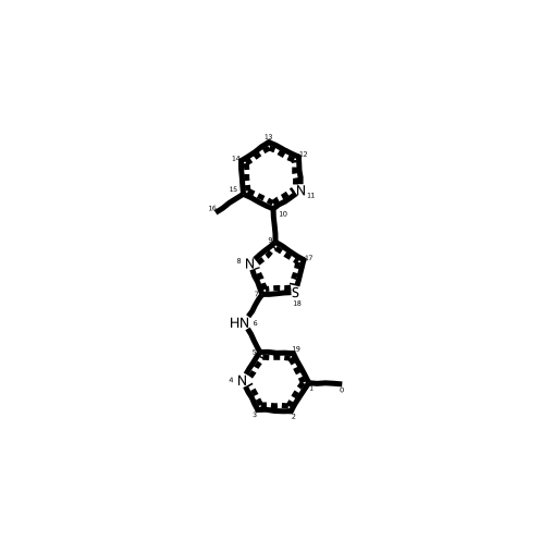 Cc1ccnc(Nc2nc(-c3ncccc3C)cs2)c1